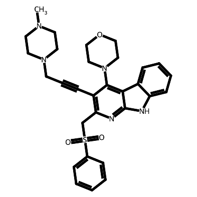 CN1CCN(CC#Cc2c(CS(=O)(=O)c3ccccc3)nc3[nH]c4ccccc4c3c2N2CCOCC2)CC1